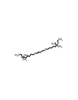 CCO[Si](C)(C)CCCCCOCCNCCOCCCCC[Si](C)(C)OCC